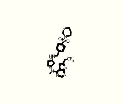 CN(c1ncnc2sc(CC(F)(F)F)cc12)[C@@H]1CC[C@H](NCc2ccc(S(=O)(=O)N3CCCSC3)cc2)C1